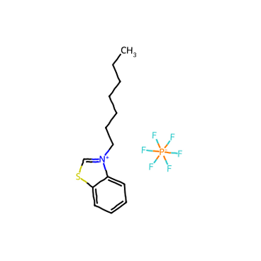 CCCCCCC[n+]1csc2ccccc21.F[P-](F)(F)(F)(F)F